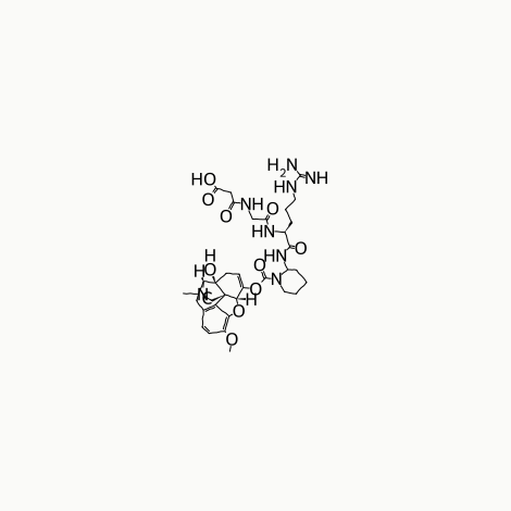 COc1ccc2c3c1O[C@H]1C(OC(=O)N4CCCCC4NC(=O)[C@H](CCCNC(=N)N)NC(=O)CNC(=O)CC(=O)O)=CC[C@@]4(O)[C@@H](C2)N(C)CC[C@]314